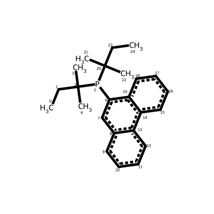 CCC(C)(C)P(c1cc2ccccc2c2ccccc12)C(C)(C)CC